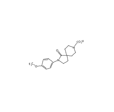 O=C(O)N1CCC2(CC1)CCN(c1ccc(OC(F)(F)F)cc1)C2=O